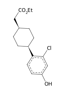 CCOC(=O)C[C@H]1CC[C@@H](c2ccc(O)cc2Cl)CC1